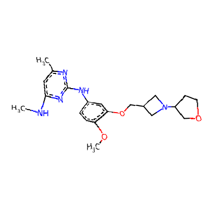 CNc1cc(C)nc(Nc2ccc(OC)c(OCC3CN(C4CCOC4)C3)c2)n1